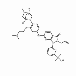 C=CCn1c(=O)c2cnc(Nc3ccc(N4C[C@@H]5C[C@H]4CN5C)c(OCCN(C)C)c3)nc2n1-c1cccc(C(C)(C)O)n1